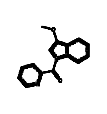 COc1cn(C(=O)c2ccccn2)c2ccccc12